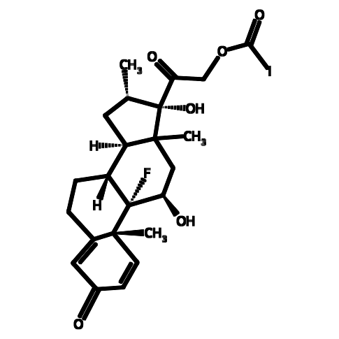 C[C@H]1C[C@@H]2[C@H]3CCC4=CC(=O)C=C[C@@]4(C)[C@]3(F)[C@H](O)CC2(C)[C@]1(O)C(=O)COC(=O)I